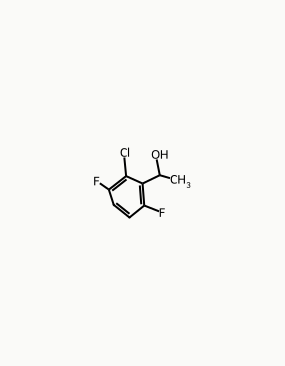 CC(O)c1c(F)ccc(F)c1Cl